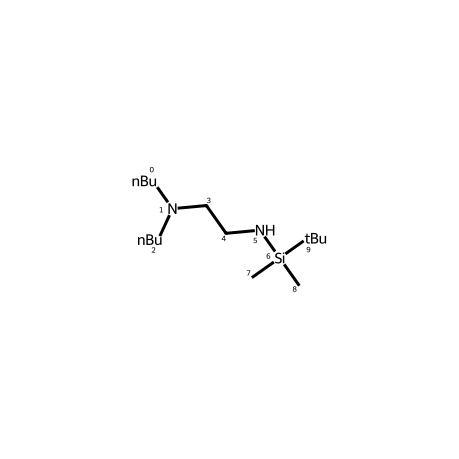 CCCCN(CCCC)CCN[Si](C)(C)C(C)(C)C